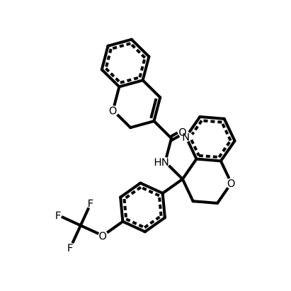 O=C(NC1(c2ccc(OC(F)(F)F)cc2)CCOc2cccnc21)C1=Cc2ccccc2OC1